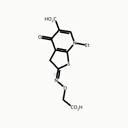 CCn1cc(C(=O)O)c(=O)c2c1S/C(=N\OCC(=O)O)C2